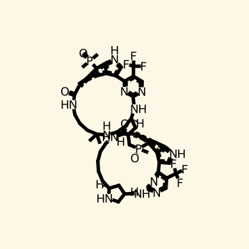 CC1(C)CCCNC(=O)c2ccc3c(c[nH]c3c2P(C)(C)=O)-c2nc(ncc2C(F)(F)F)N[C@H]2CC(CP(C)(=O)c3c4ccc5c(c[nH]c35)-c3nc(ncc3C(F)(F)F)N[C@H]3CN[C@@H](CCCCCNC4=O)C3)[C@@H](C2)N1